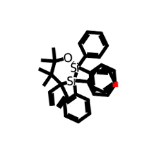 C=CC1(C=C)C(C)(C)C(C)(C)O[Si](c2ccccc2)(c2ccccc2)[Si]1(c1ccccc1)c1ccccc1